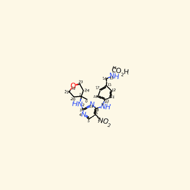 CC1(Nc2ncc([N+](=O)[O-])c(Nc3ccc(CNC(=O)O)cc3)n2)CCOCC1